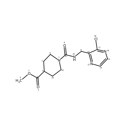 COC(=O)C1CCN(C(=O)NCc2nccnc2Cl)CC1